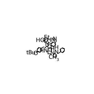 CCOC(O)CN(Cc1cccc2cn[nH]c12)C(=O)[C@H](Cc1ccc(OC(C)(C)C)cc1)NC(=O)C[C@@H](C)NC(=O)NCc1ccccc1